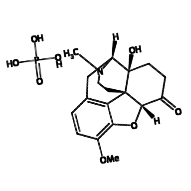 COc1ccc2c3c1O[C@H]1C(=O)CC[C@@]4(O)[C@@H](C2)N(C)CC[C@]314.O=P(O)(O)O